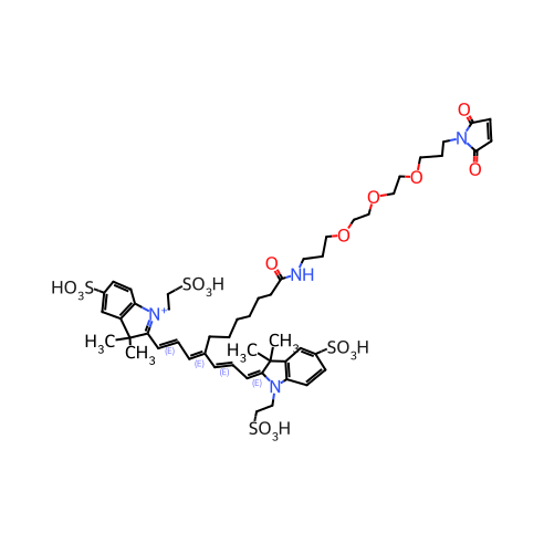 CC1(C)C(/C=C/C=C(/C=C/C=C2/N(CCS(=O)(=O)O)c3ccc(S(=O)(=O)O)cc3C2(C)C)CCCCCCC(=O)NCCCOCCOCCOCCCN2C(=O)C=CC2=O)=[N+](CCS(=O)(=O)O)c2ccc(S(=O)(=O)O)cc21